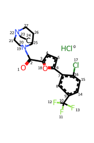 Cl.O=C(c1ccc(-c2cc(C(F)(F)F)ccc2Cl)o1)N1CCN2CCC1CC2